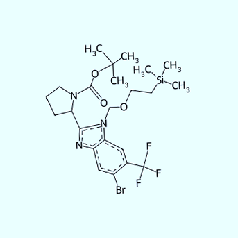 CC(C)(C)OC(=O)N1CCCC1c1nc2cc(Br)c(C(F)(F)F)cc2n1COCC[Si](C)(C)C